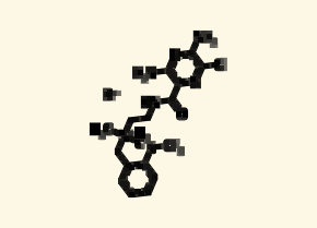 C[N+](C)(CCNC(=O)c1nc(Cl)c(N)nc1N)Cc1ccccc1SC(F)(F)F.[Br-]